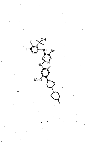 COc1cc(Nc2ncc(Br)c(Nc3ccc(F)c(F)c3C(C)(C)O)n2)c(C)cc1N1CCC(N2CCN(C)CC2)CC1